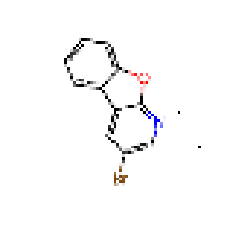 Brc1cnc2oc3ccccc3c2c1